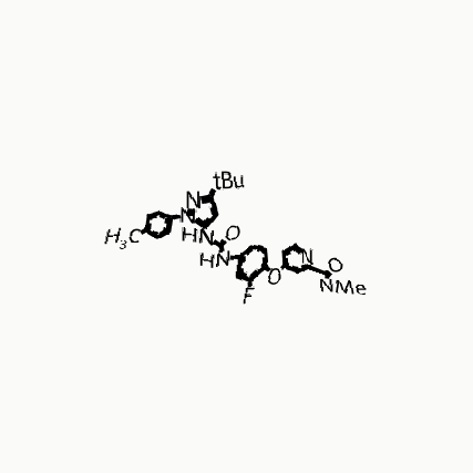 CNC(=O)c1cc(Oc2ccc(NC(=O)Nc3cc(C(C)(C)C)nn3-c3ccc(C)cc3)cc2F)ccn1